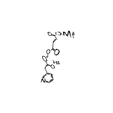 COC(=O)/C=C/C(=O)OCOC(=O)Cc1cccnc1.I